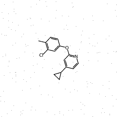 Cc1ccc(Oc2cc(C3CC3)ccn2)cc1Cl